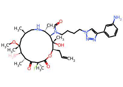 B[C@@H]1[C@@H](C)C(=O)[C@](C)(F)C(=O)O[C@H](CC=C)[C@@](C)(O)[C@H](N(C=O)CCCCn2cc(-c3cccc(N)c3)nn2)[C@@H](C)NC[C@H](C)C[C@@]1(C)OC